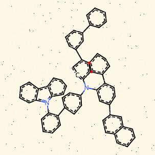 c1ccc(-c2cccc(-c3ccc(N(c4ccc(-c5ccccc5-n5c6ccccc6c6ccccc65)cc4)c4cc(-c5ccc6ccccc6c5)ccc4-c4ccccc4)cc3)c2)cc1